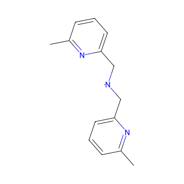 Cc1cccc(C[N]Cc2cccc(C)n2)n1